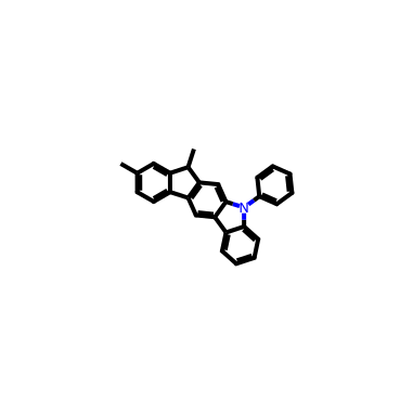 Cc1ccc2c(c1)C(C)c1cc3c(cc1-2)c1ccccc1n3-c1ccccc1